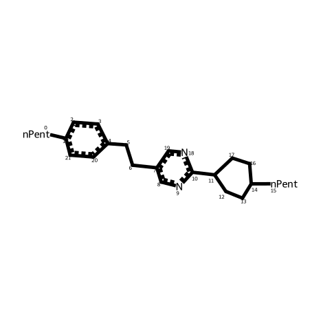 CCCCCc1ccc(CCc2cnc(C3CCC(CCCCC)CC3)nc2)cc1